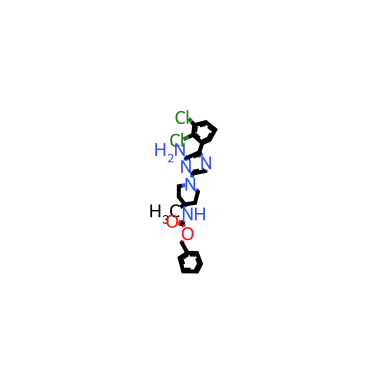 CC1(NC(=O)OCc2ccccc2)CCN(c2cnc(-c3cccc(Cl)c3Cl)c(N)n2)CC1